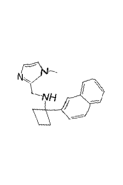 Cn1ccnc1CNC1(c2ccc3ccccc3c2)CCC1